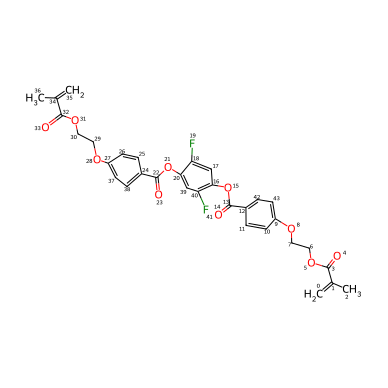 C=C(C)C(=O)OCCOc1ccc(C(=O)Oc2cc(F)c(OC(=O)c3ccc(OCCOC(=O)C(=C)C)cc3)cc2F)cc1